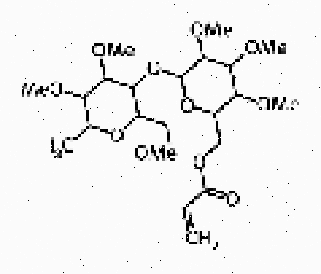 C=CC(=O)OCC1OC(OC2C(COC)OC(C)C(OC)C2OC)C(OC)C(OC)C1OC